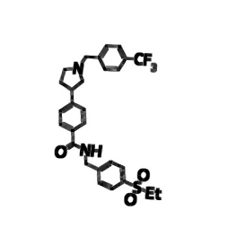 CCS(=O)(=O)c1ccc(CNC(=O)c2ccc(C3CCN(Cc4ccc(C(F)(F)F)cc4)C3)cc2)cc1